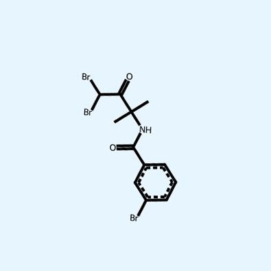 CC(C)(NC(=O)c1cccc(Br)c1)C(=O)C(Br)Br